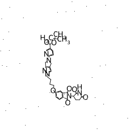 CC(C)(C)OC(=O)c1ccc(N2Cc3cn(CCCCOc4ccc5c(c4)C(=O)N(C4CCC(=O)NC4=O)C5=O)nc3C2)nc1